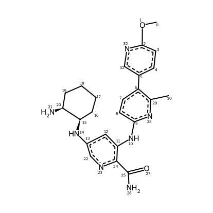 COc1ccc(-c2ccc(Nc3cc(N[C@@H]4CCCC[C@@H]4N)cnc3C(N)=O)nc2C)cn1